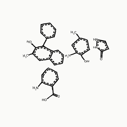 Cc1cc2ccccc2c(-c2ccccc2)c1O.Cc1ccc(O)c(N)c1.Nc1ccccc1C(=O)O.O=c1cc[nH][nH]1